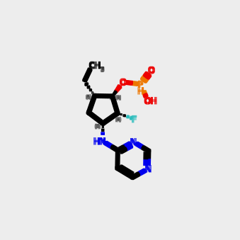 CC[C@H]1C[C@@H](Nc2ccncn2)[C@@H](F)[C@@H]1O[PH](=O)O